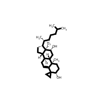 CC(C)CCC[C@@H](C)[C@H]1CC[C@H]2[C@@H]3CC=C4C5(CC5)[C@@H](O)CC[C@]4(C)[C@H]3C[C@@H](O)[C@]12C